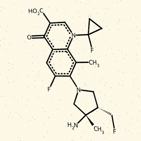 Cc1c(N2C[C@H](CF)[C@](C)(N)C2)c(F)cc2c(=O)c(C(=O)O)cn(C3(F)CC3)c12